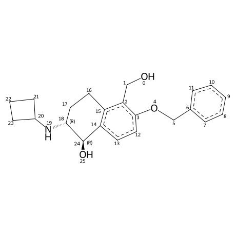 OCc1c(OCc2ccccc2)ccc2c1CC[C@@H](NC1CCC1)[C@@H]2O